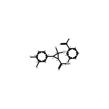 C=C(C)c1cccc(NC(=C)C2C(c3ccc(C)c(C)c3)C2(C)Cl)c1